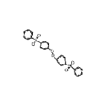 O=S(=O)(c1ccccc1)c1ccc(OOc2ccc(S(=O)(=O)c3ccccc3)cc2)cc1